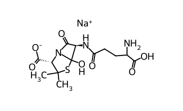 CC1(C)SC2(O)[C@H](NC(=O)CCC(N)C(=O)O)C(=O)N2[C@H]1C(=O)[O-].[Na+]